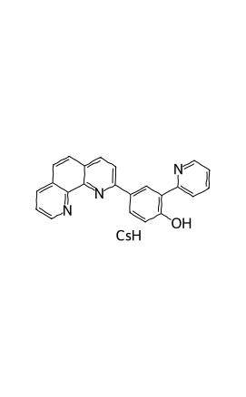 Oc1ccc(-c2ccc3ccc4cccnc4c3n2)cc1-c1ccccn1.[CsH]